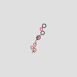 CC(C)(C)OC(=O)COCCC12CCC(c3cccc(Oc4ccccc4)c3)(CC1)OC2